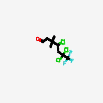 CC(C)(CC=O)C(Cl)CC(Cl)(Cl)C(F)(F)F